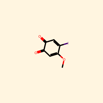 COC1=CC(=O)C(=O)C=C1I